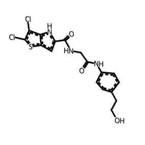 O=C(CNC(=O)c1cc2sc(Cl)c(Cl)c2[nH]1)Nc1ccc(CCO)cc1